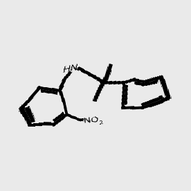 CC(C)(Nc1ccccc1[N+](=O)[O-])c1ccccc1